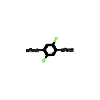 CCCCCc1cc(F)c(CCCCC)cc1F